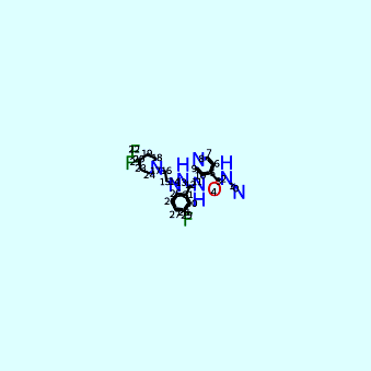 N#CNC(=O)c1ccncc1NC1NN(CCN2CCC(F)(F)CC2)c2ccc(F)cc21